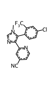 Cn1cnc(-c2cc(C#N)ccn2)c1-c1ccc(Cl)cc1C(F)(F)F